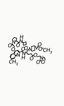 CCOC(=O)N1CCN(C(=O)C(CCC(=O)OCCN2CCOC2=O)NC(=O)c2cc(OCC(=O)N3CCCC3C(=O)NC3CCC3)c3ccc(C)cc3n2)CC1